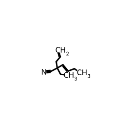 C=CCC(C#N)(C=CCC)CC